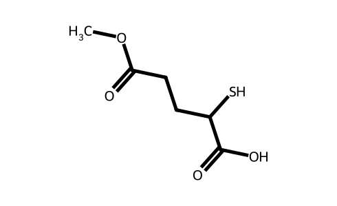 COC(=O)CCC(S)C(=O)O